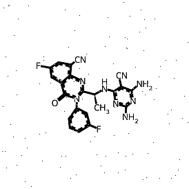 C[C@H](Nc1nc(N)nc(N)c1C#N)c1nc2c(C#N)cc(F)cc2c(=O)n1-c1cccc(F)c1